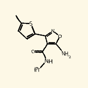 Cc1ccc(-c2noc(N)c2C(=O)NC(C)C)s1